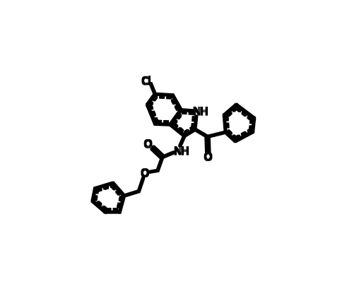 O=C(COCc1ccccc1)Nc1c(C(=O)c2ccccc2)[nH]c2cc(Cl)ccc12